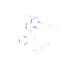 CCC(C)OP(=O)(O)COCC(c1ccccc1)n1cnc2c(N)nc(OCCOC)nc21